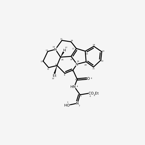 CCOC(=O)/C(=N/O)NC(=O)C1=C[C@]2(CC)CCCN3CCc4c(n1c1ccccc41)[C@@H]32